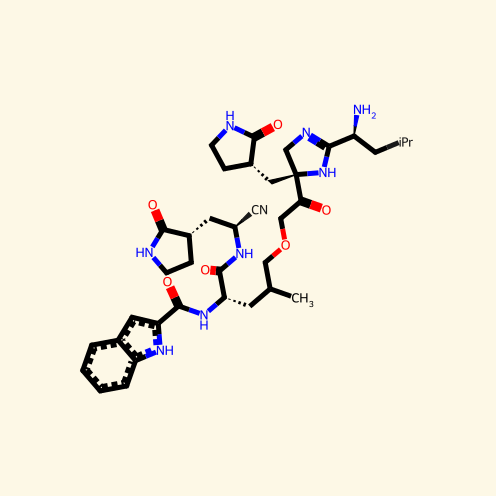 CC(C)C[C@H](N)C1=NC[C@@](C[C@@H]2CCNC2=O)(C(=O)COCC(C)C[C@H](NC(=O)c2cc3ccccc3[nH]2)C(=O)N[C@H](C#N)C[C@@H]2CCNC2=O)N1